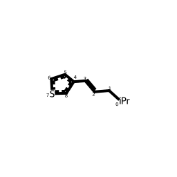 CC(C)CC=Cc1ccsc1